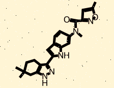 Cc1cc(C(=O)N(C)c2ccc3cc(-c4n[nH]c5c4CCC(C)(C)C5)[nH]c3c2)no1